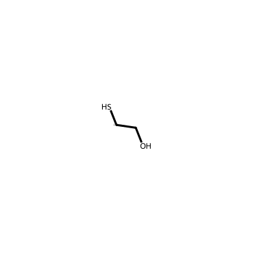 OC[CH]S